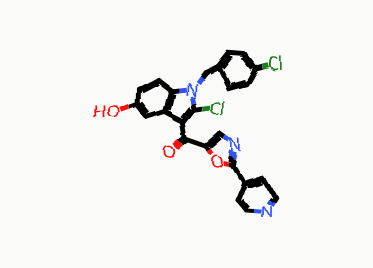 O=C(c1cnc(-c2ccncc2)o1)c1c(Cl)n(Cc2ccc(Cl)cc2)c2ccc(O)cc12